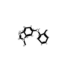 Cc1ccccc1Oc1ccc2n[c]n(C)c2c1